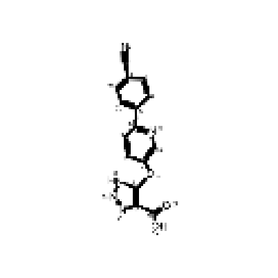 N#Cc1ccc(-c2ccc(Oc3[nH]nnc3C(=O)O)cn2)cc1